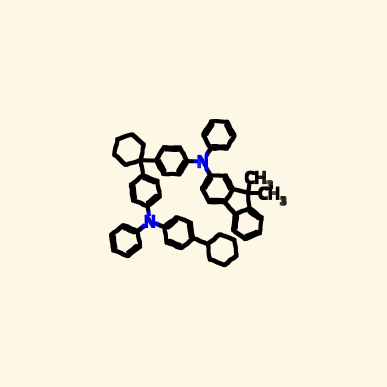 CC1(C)c2ccccc2-c2ccc(N(c3ccccc3)c3ccc(C4(c5ccc(N(c6ccccc6)c6ccc(C7CCCCC7)cc6)cc5)CCCCC4)cc3)cc21